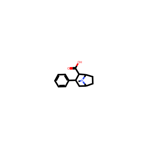 CN1C2CCC1C(C(=O)O)C(c1ccccc1)C2